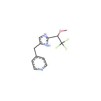 COC(c1ncc(Cc2ccncc2)[nH]1)C(F)(F)F